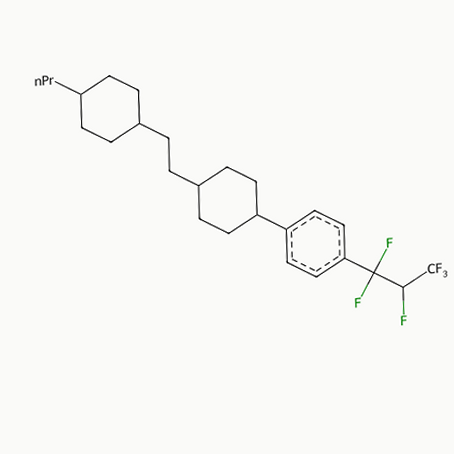 CCCC1CCC(CCC2CCC(c3ccc(C(F)(F)C(F)C(F)(F)F)cc3)CC2)CC1